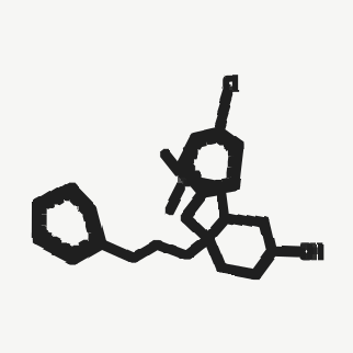 CN(C)CC1CC(O)CCC1(CCCc1ccccc1)Cc1ccc(Cl)cc1